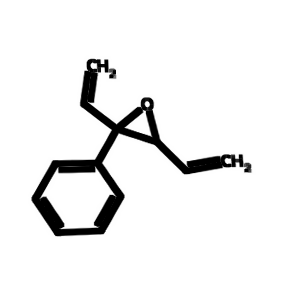 C=CC1OC1(C=C)c1ccccc1